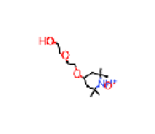 CC1(C)CC(OCCOCCO)CC(C)(C)[NH+]1[O-]